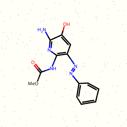 COC(=O)Nc1nc(N)c(O)cc1/N=N/c1ccccc1